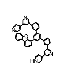 C1=CC(c2cncc(-c3cccc(-c4cc(-c5cccc(-c6cncc(-c7ccncc7)c6)c5)cc(-c5cccc6c5oc5ccccc56)c4)c3)c2)=CCN1